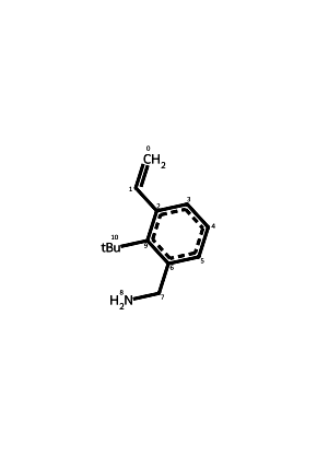 C=Cc1cccc(CN)c1C(C)(C)C